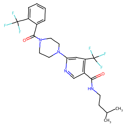 CC(C)CCNC(=O)c1cnc(N2CCN(C(=O)c3ccccc3C(F)(F)F)CC2)cc1C(F)(F)F